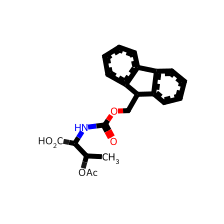 CC(=O)OC(C)C(NC(=O)OCC1c2ccccc2-c2ccccc21)C(=O)O